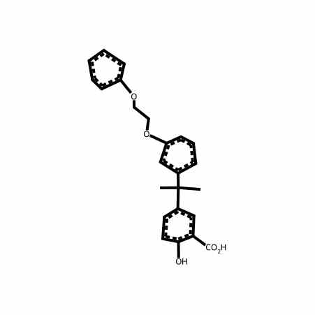 CC(C)(c1cccc(OCCOc2ccccc2)c1)c1ccc(O)c(C(=O)O)c1